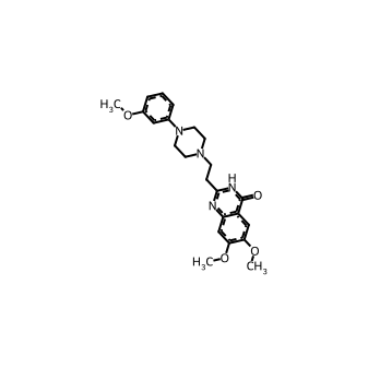 COc1cccc(N2CCN(CCc3nc4cc(OC)c(OC)cc4c(=O)[nH]3)CC2)c1